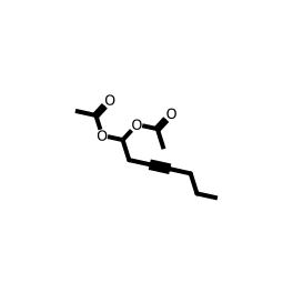 CCCC#CCC(OC(C)=O)OC(C)=O